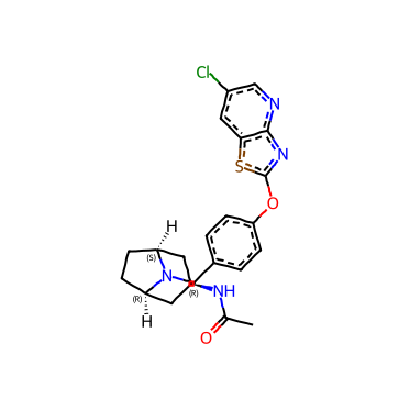 CC(=O)N[C@H]1C[C@H]2CC[C@@H](C1)N2Cc1ccc(Oc2nc3ncc(Cl)cc3s2)cc1